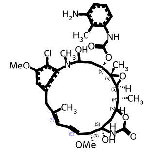 COc1cc2cc(c1Cl)N(C)C(O)C[C@H](OC(=O)Nc1cccc(N)c1C)[C@]1(C)O[C@H]1[C@H](C)[C@@H]1C[C@@](O)(NC(=O)O1)[C@H](OC)/C=C/C=C(\C)C2